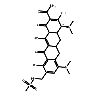 CN(C)c1cc(CNS(C)(=O)=O)c(O)c2c1CC1CC3C(C(=O)C(C(N)=O)=C(O)[C@H]3N(C)C)C(O)=C1C2=O